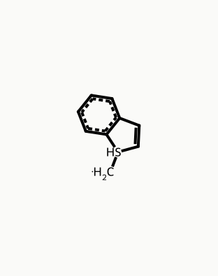 [CH2][SH]1C=Cc2ccccc21